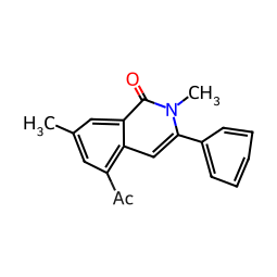 CC(=O)c1cc(C)cc2c(=O)n(C)c(-c3ccccc3)cc12